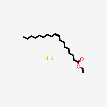 CCCCCCCC/C=C\CCCCCCCC(=O)OCC.S